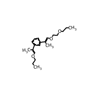 CCCOC=C(C)c1cccc(C(C)=COCCOCCC)c1